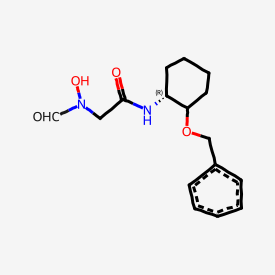 O=CN(O)CC(=O)N[C@@H]1CCCCC1OCc1ccccc1